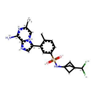 Cc1ccc(S(=O)(=O)NC23CC(C(F)F)(C2)C3)cc1-c1cnc2c(N)nc(C(F)(F)F)cn12